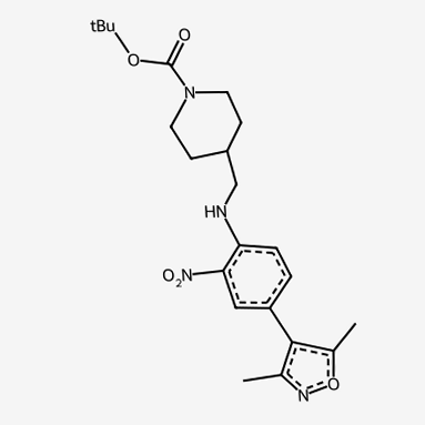 Cc1noc(C)c1-c1ccc(NCC2CCN(C(=O)OC(C)(C)C)CC2)c([N+](=O)[O-])c1